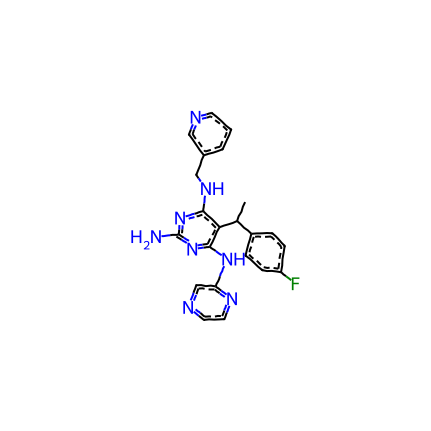 CC(c1ccc(F)cc1)c1c(NCc2cccnc2)nc(N)nc1Nc1cnccn1